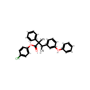 CC(C)C(C(=O)Oc1ccc(Cl)cc1)(c1ccccc1)C(C#N)c1cccc(Oc2ccccc2)c1